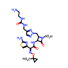 NCCNC(=O)NCc1cnn(CC2C(NC(=O)/C(=N\OC3(C(=O)O)CC3)c3csc(N)n3)C(=O)N2S(=O)(=O)O)n1